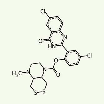 CN1CCN(C(=O)Oc2ccc(Cl)cc2-c2nc3ccc(Cl)cc3c(=O)[nH]2)C2CSSCC21